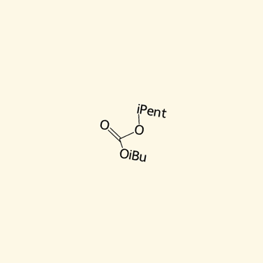 CCCC(C)OC(=O)OCC(C)C